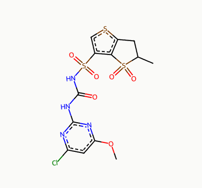 COc1cc(Cl)nc(NC(=O)NS(=O)(=O)c2csc3c2S(=O)(=O)C(C)C3)n1